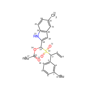 C=CC(c1cccc(C(C)(C)C)c1)S(=O)(=O)C(OC(=O)CCCC)c1cc2cc(C(F)(F)F)ccc2[nH]1